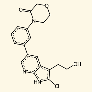 O=C1COCCN1c1cccc(-c2cnc3[nH]c(Cl)c(CCO)c3c2)c1